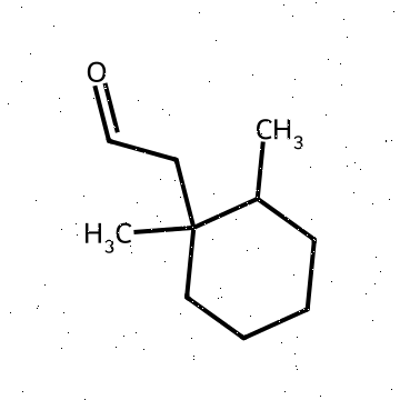 CC1CCCCC1(C)CC=O